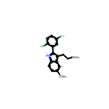 COc1ccc2[nH]c(-c3cc(F)ccc3F)c(CCNC(C)=O)c2c1